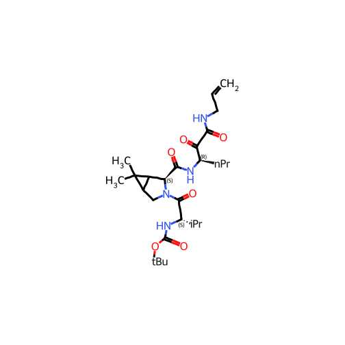 C=CCNC(=O)C(=O)[C@@H](CCC)NC(=O)[C@@H]1C2C(CN1C(=O)[C@@H](NC(=O)OC(C)(C)C)C(C)C)C2(C)C